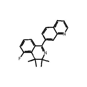 CC1(C)N=C(c2ccc3cccnc3c2)c2cccc(F)c2C1(C)C